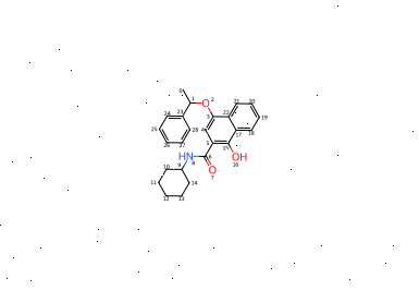 CC(Oc1cc(C(=O)NC2CCCCC2)c(O)c2ccccc12)c1ccccc1